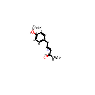 CCCCCCOc1ccc(C/C=C/C(=O)OC)cc1